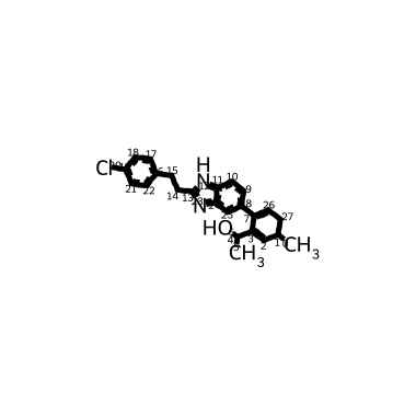 CC1C=C(C(C)O)C(c2ccc3[nH]c(CCc4ccc(Cl)cc4)nc3c2)=CC1